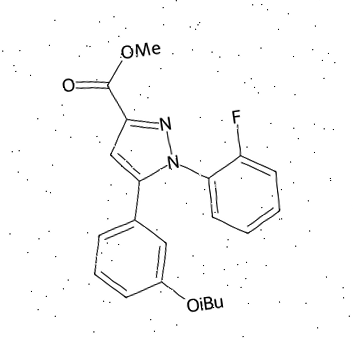 COC(=O)c1cc(-c2cccc(OCC(C)C)c2)n(-c2ccccc2F)n1